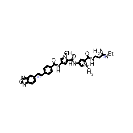 CC/N=C(\N)CCNC(=O)c1cc(NC(=O)c2cc(NC(=O)c3ccc(/C=C/c4ccc5nonc5c4)cc3)cn2C)cn1C